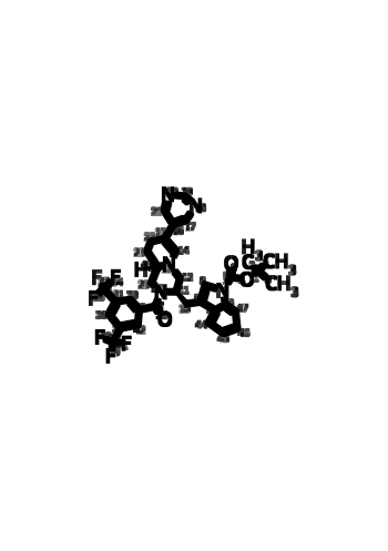 CC(C)(C)OC(=O)n1cc(C[C@@H]2CN3C=C(c4cncnc4)CC[C@@H]3CN2C(=O)c2cc(C(F)(F)F)cc(C(F)(F)F)c2)c2ccccc21